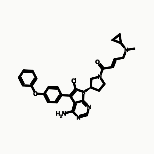 CN(CC=CC(=O)N1CC[C@@H](n2c(Cl)c(-c3ccc(Oc4ccccc4)cc3)c3c(N)ncnc32)C1)C1CC1